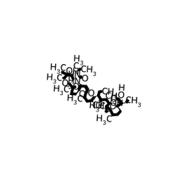 CCC(C(=O)[C@@H](C)[C@@H](O)C1(C)C[C@]12O[C@@H]([C@@H](CC)C(=O)O)CC[C@@H]2C)[C@H]1O[C@]2(C=CC(NC(=O)NC(C)C)[C@]3(CC[C@@](C)([C@H]4CC[C@](O)(CC)[C@H](C)O4)O3)O2)[C@H](C)C[C@@H]1C